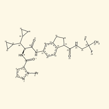 CC(C)n1nccc1C(=O)N[C@H](C(=O)Nc1ccc2c(c1)CCC2C(=O)NCC(C)(F)F)C(C1CC1)C1CC1